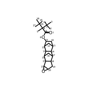 CC(C)(C)C(C)(C(=O)OC1CC2CC1C1C3CC(C4CC5OC5C43)C21)C(C)(C)C